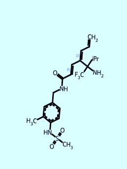 C=C/C=C(/C=C/C(=O)NCc1ccc(NS(C)(=O)=O)c(C)c1)C(N)(C(C)C)C(F)(F)F